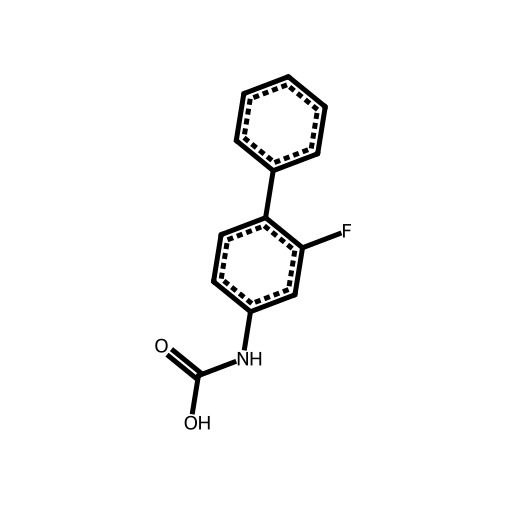 O=C(O)Nc1ccc(-c2ccccc2)c(F)c1